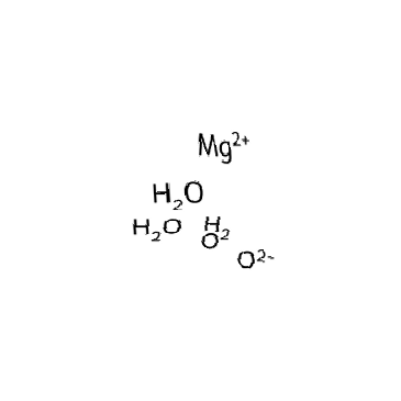 O.O.O.[Mg+2].[O-2]